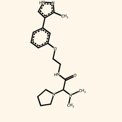 Cc1n[nH]cc1-c1c[c]cc(OCCNC(=O)C(N(C)C)N2CCCC2)c1